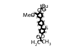 C=C(C)C(=O)Oc1ccc(-c2ccc(-c3ccc(OC(=O)C(C)(C)C)c(COC)c3)cc2)c(F)c1